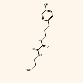 CCCCCCCCCCCCNC(=O)C(=O)NCCCc1ccc(O)cc1